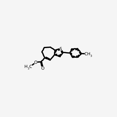 COC(=O)C1=Cc2cc(-c3ccc(C)cc3)sc2CCC1